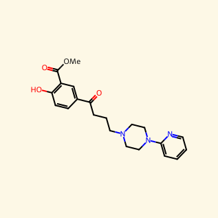 COC(=O)c1cc(C(=O)CCCN2CCN(c3ccccn3)CC2)ccc1O